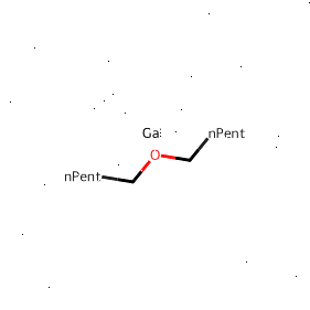 CCCCCCOCCCCCC.[Ga]